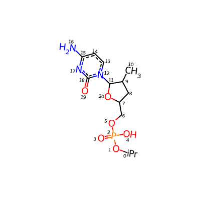 CC(C)OP(=O)(O)OCC1CC(C)C(n2ccc(N)nc2=O)O1